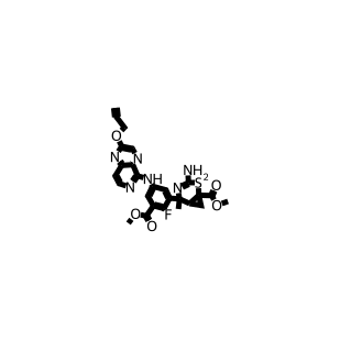 C#CCOc1cnc2c(Nc3cc(C(=O)OC)c(F)c(C4(C)N=C(N)SC5(C(=O)OC)CC54)c3)nccc2n1